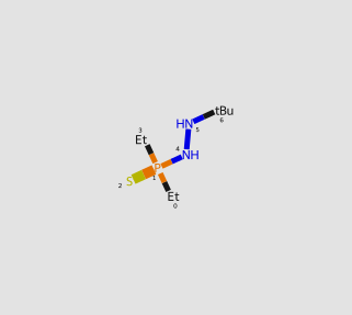 CCP(=S)(CC)NNC(C)(C)C